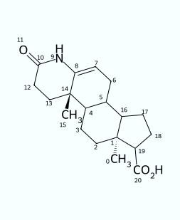 C[C@]12CCC3C(CC=C4NC(=O)CC[C@]43C)C1CCC2C(=O)O